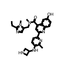 CCc1ncc(CN(C)C(=O)c2cc(-c3ccc(NC4CNC4)c(C)n3)nc3ccc(O)cc23)n1C